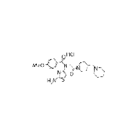 COc1ccc(C(=O)N(CC(=O)N2CCC(CN3CCCCC3)CC2)c2csc(N)n2)cc1.Cl